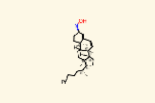 CC(C)CCC[C@@H](C)[C@H]1CC[C@H]2[C@@H]3C=CC4=CC(=NO)CC[C@]4(C)[C@H]3CC[C@]12C